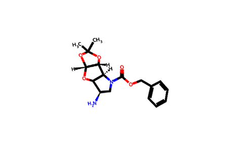 CC1(C)O[C@H]2OC3[C@H](N)CN(C(=O)OCc4ccccc4)[C@@H]3[C@H]2O1